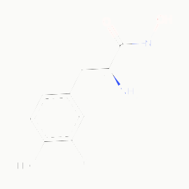 Cc1ccc(C[C@H](N)C(=O)NO)cc1C